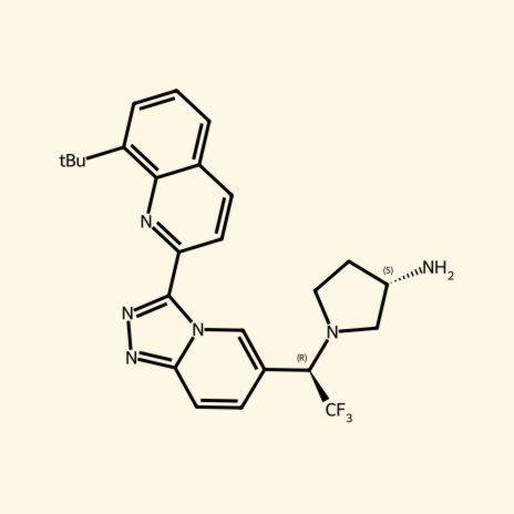 CC(C)(C)c1cccc2ccc(-c3nnc4ccc([C@@H](N5CC[C@H](N)C5)C(F)(F)F)cn34)nc12